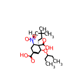 CCC(CC)O[C@H]1C=C(C(=O)O)C[C@@H]([N+](=O)[O-])[C@@]1(CCC(C)(C)C)C(=O)O